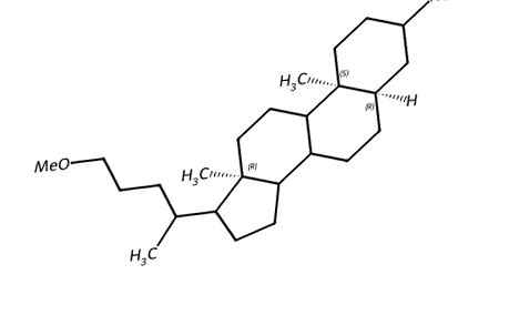 COCCCC(C)C1CCC2C3CC[C@@H]4CC(N=O)CC[C@]4(C)C3CC[C@]12C